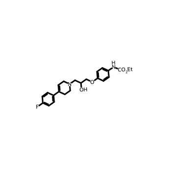 CCOC(=O)Nc1ccc(OCC(O)CN2CC=C(c3ccc(F)cc3)CC2)cc1